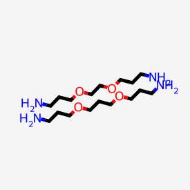 NCCCOCCCOCCCN.NCCCOCCOCCCN